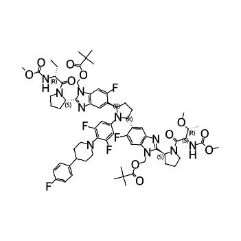 CC[C@@H](NC(=O)OC)C(=O)N1CCC[C@H]1c1nc2cc([C@H]3CC[C@H](c4cc5nc([C@@H]6CCCN6C(=O)[C@@H](NC(=O)OC)[C@@H](C)OC)n(COC(=O)C(C)(C)C)c5cc4F)N3c3cc(F)c(N4CCC(c5ccc(F)cc5)CC4)c(F)c3)c(F)cc2n1COC(=O)C(C)(C)C